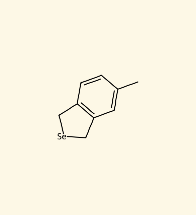 Cc1ccc2c(c1)C[Se]C2